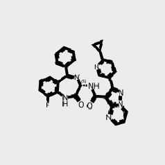 O=C(N[C@H]1N=C(c2ccccc2)c2cccc(F)c2NC1=O)c1c(-c2ccc(C3CC3)nc2)nn2cccnc12